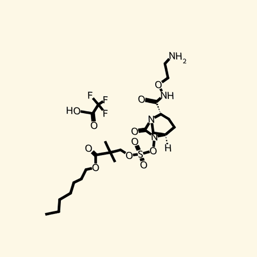 CCCCCCCOC(=O)C(C)(C)COS(=O)(=O)ON1C(=O)N2C[C@H]1CC[C@H]2C(=O)NOCCN.O=C(O)C(F)(F)F